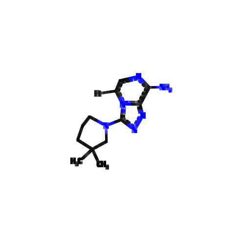 CCc1cnc(N)c2nnc(N3CCCC(C)(C)C3)n12